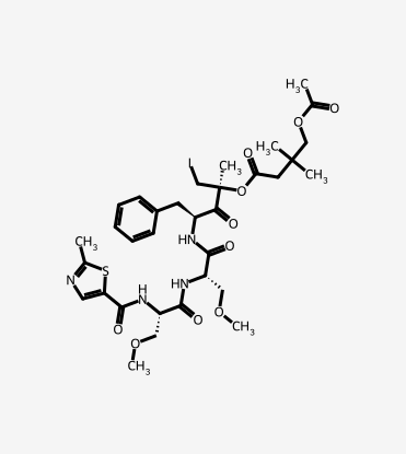 COC[C@H](NC(=O)c1cnc(C)s1)C(=O)N[C@@H](COC)C(=O)N[C@@H](Cc1ccccc1)C(=O)[C@@](C)(CI)OC(=O)CC(C)(C)COC(C)=O